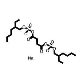 CCCCC(CC)COS(=O)(=O)OC(=O)CCC(=O)OS(=O)(=O)OCC(CC)CCCC.[Na]